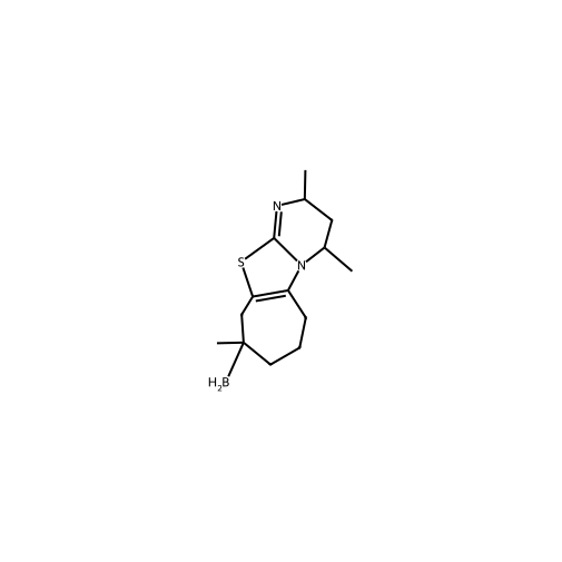 BC1(C)CCCC2=C(C1)SC1=NC(C)CC(C)N12